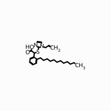 C=CCn1ccnc1SC(C(=O)O)c1ccccc1CCCCCCCCCCCC